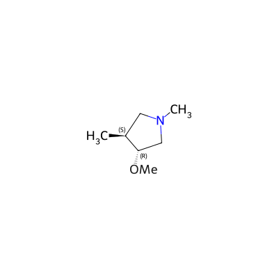 CO[C@H]1CN(C)C[C@@H]1C